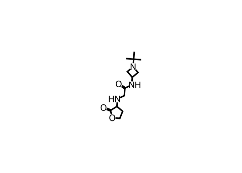 CC(C)(C)N1CC(NC(=O)CNC2CCOC2=O)C1